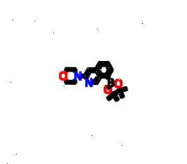 CC1(C)OB(c2cccc3cc(N4CCOCC4)ncc23)OC1(C)C